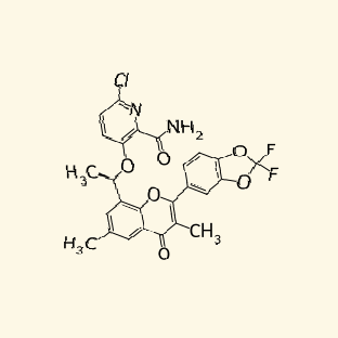 Cc1cc([C@@H](C)Oc2ccc(Cl)nc2C(N)=O)c2oc(-c3ccc4c(c3)OC(F)(F)O4)c(C)c(=O)c2c1